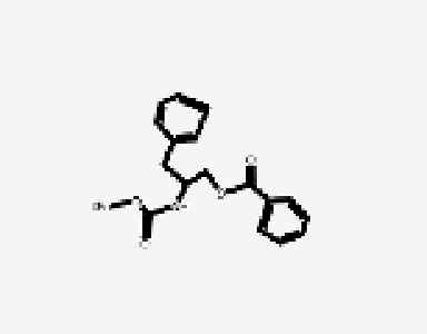 CC(C)(C)OC(=O)NC(COC(=O)c1ccccc1)Cc1ccccc1